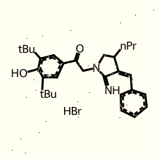 Br.CCCC1CN(CC(=O)c2cc(C(C)(C)C)c(O)c(C(C)(C)C)c2)C(=N)/C1=C\c1ccccc1